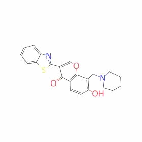 O=c1c(-c2nc3ccccc3s2)coc2c(CN3CCCCC3)c(O)ccc12